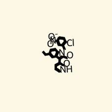 CCc1ccc2c(c1)c(-c1ccc[nH]c1=O)c(C=O)n2Cc1cc([N+](=O)[O-])ccc1Cl